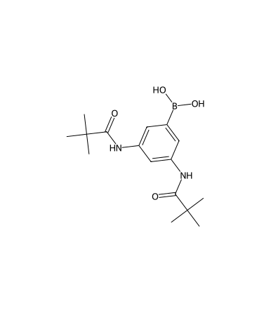 CC(C)(C)C(=O)Nc1cc(NC(=O)C(C)(C)C)cc(B(O)O)c1